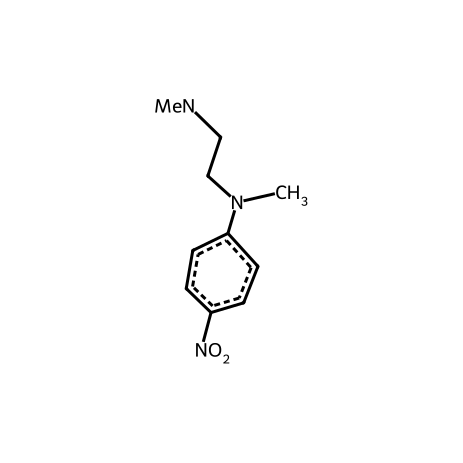 CNCCN(C)c1ccc([N+](=O)[O-])cc1